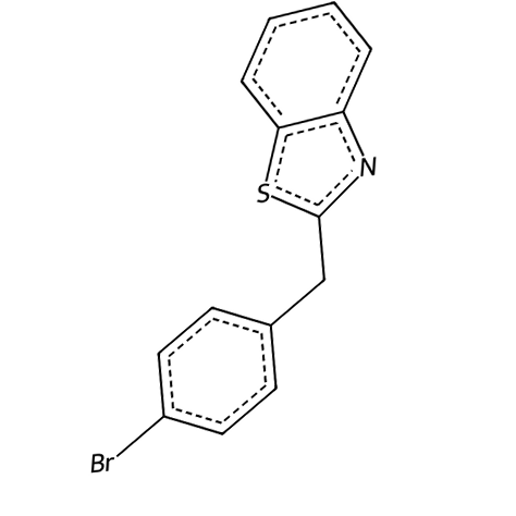 Brc1ccc(Cc2nc3ccccc3s2)cc1